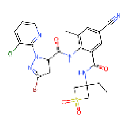 CCC1(NC(=O)c2cc(C#N)cc(C)c2NC(=O)C2CC(Br)=NN2c2ncccc2Cl)CS(=O)(=O)C1